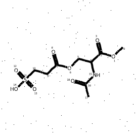 COC(=O)C(COC(=O)CCS(=O)(=O)O)NC(C)=O